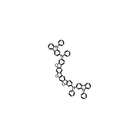 c1ccc(N(c2ccc3c(c2)oc2cc4oc5cc6oc7cc(N(c8ccccc8)c8ccc9c%10ccccc%10n(-c%10ccccc%10)c9c8)ccc7c6cc5c4cc23)c2ccc3c4ccccc4n(-c4ccccc4)c3c2)cc1